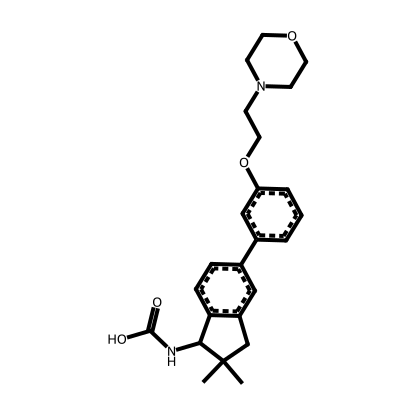 CC1(C)Cc2cc(-c3cccc(OCCN4CCOCC4)c3)ccc2C1NC(=O)O